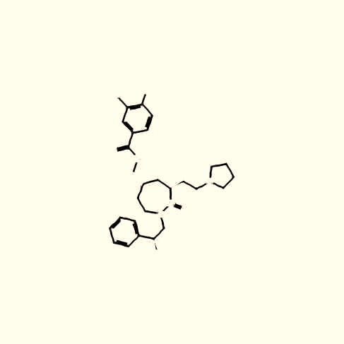 CC[C@H](CN1CC[C@H](CNC(=O)c2ccc(Cl)c(Cl)c2)C[C@@H](CCN2CCCC2)[N+]1=O)c1ccccc1